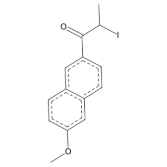 COc1ccc2cc(C(=O)C(C)I)ccc2c1